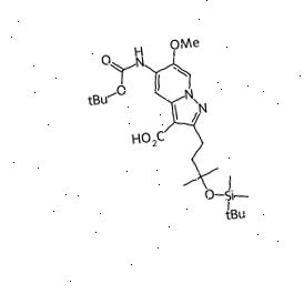 COc1cn2nc(CCC(C)(C)O[Si](C)(C)C(C)(C)C)c(C(=O)O)c2cc1NC(=O)OC(C)(C)C